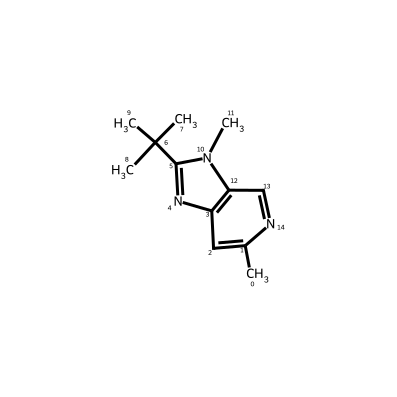 Cc1cc2nc(C(C)(C)C)n(C)c2cn1